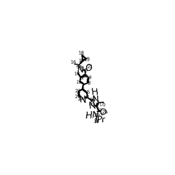 Cc1[nH]c(-c2cc(-c3ccc4c(c3)CN([C@@H](C)C3CC3)C4=O)ccn2)nc1C(=O)NC(C)C